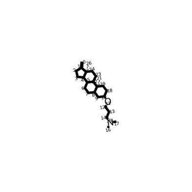 C=C1CCC2C3CCC4C[C@H](OCCCN(C)C)CC[C@]4(C)C3CC[C@]12C